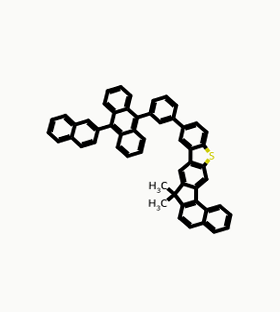 CC1(C)c2cc3c(cc2-c2c1ccc1ccccc21)sc1ccc(-c2cccc(-c4c5ccccc5c(-c5ccc6ccccc6c5)c5ccccc45)c2)cc13